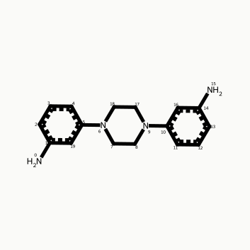 Nc1cccc(N2CCN(c3cccc(N)c3)CC2)c1